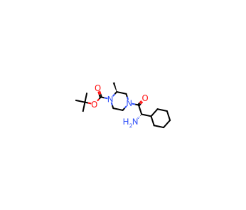 C[C@H]1CN(C(=O)[C@@H](N)C2CCCCC2)CCN1C(=O)OC(C)(C)C